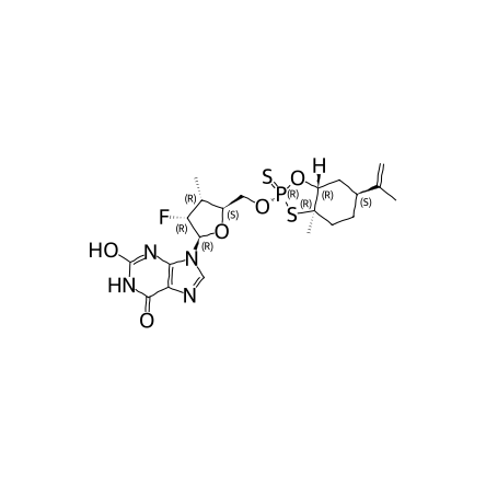 C=C(C)[C@H]1CC[C@@]2(C)S[P@](=S)(OC[C@H]3O[C@@H](n4cnc5c(=O)[nH]c(O)nc54)[C@H](F)[C@@H]3C)O[C@@H]2C1